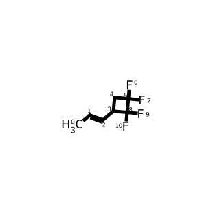 CC=CC1CC(F)(F)C1(F)F